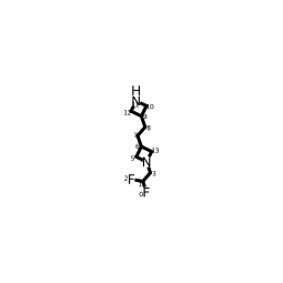 FC(F)CN1CC(CCC2CNC2)C1